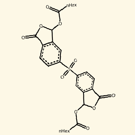 CCCCCCC(=O)OC1OC(=O)c2ccc(S(=O)(=O)c3ccc4c(c3)C(OC(=O)CCCCCC)OC4=O)cc21